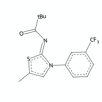 Cc1cn(-c2cccc(C(F)(F)F)c2)c(=NC(=O)C(C)(C)C)s1